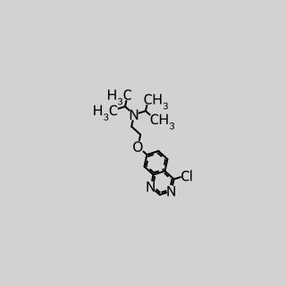 CC(C)N(CCOc1ccc2c(Cl)ncnc2c1)C(C)C